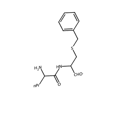 CCCC(N)C(=O)NC([C]=O)CSCc1ccccc1